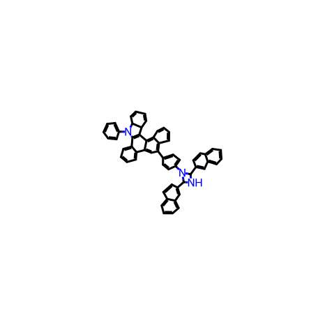 C1=CC2c3c(c4ccccc4c4cc(-c5ccc(N6C(c7ccc8ccccc8c7)NC6c6ccc7ccccc7c6)cc5)c5ccccc5c34)N(c3ccccc3)C2C=C1